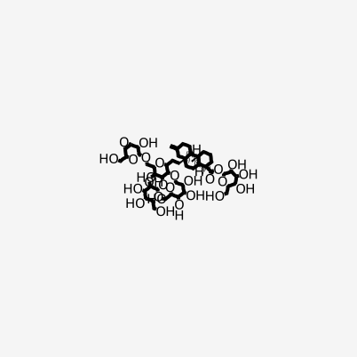 C=C1CC[C@@H]2[C@](CCC3OC(COC4OC(CO)C5OC5C4O)C(O)C(OC4OC(CO)C(O)C(O)C4O)C3OC3OC(CO)C(O)C(O)C3O)(CC[C@H]3[C@@]2(C)CCC[C@@]3(C)C(=O)OC2OC(CO)C(O)C(O)C2O)C1